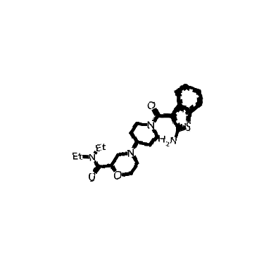 CCN(CC)C(=O)C1CN(C2CCN(C(=O)c3c(N)sc4ccccc34)CC2)CCO1